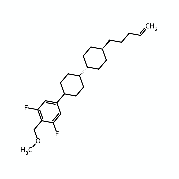 C=CCCC[C@H]1CC[C@H](C2CCC(c3cc(F)c(COC)c(F)c3)CC2)CC1